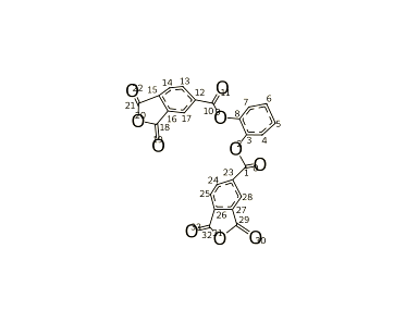 O=C(Oc1ccccc1OC(=O)c1ccc2c(c1)C(=O)OC2=O)c1ccc2c(c1)C(=O)OC2=O